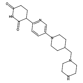 O=C1CCC(c2ccc(N3CCC(CN4CCNCC4)CC3)cn2)C(=O)N1